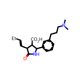 CCC=CC1C(=O)NC(c2cccc(CCCN(C)C)c2)C1C(=O)O